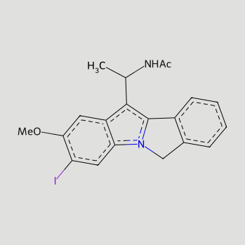 COc1cc2c(C(C)NC(C)=O)c3n(c2cc1I)Cc1ccccc1-3